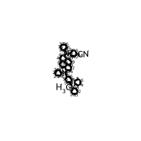 C[Si](c1ccccc1)(c1ccccc1)c1ccc(N(c2ccccc2)c2ccc3ccc4c(N(c5ccccc5)c5ccc(C#N)cc5)ccc5ccc2c3c54)cc1